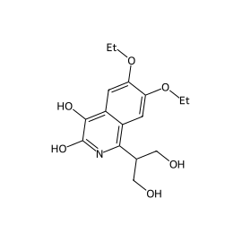 CCOc1cc2c(C(CO)CO)nc(O)c(O)c2cc1OCC